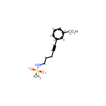 CS(=O)(=O)NCCCC#Cc1cccc(C(=O)O)c1